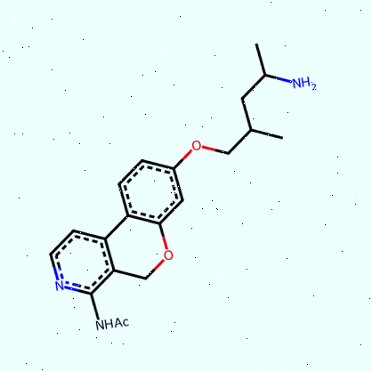 CC(=O)Nc1nccc2c1COc1cc(OCC(C)CC(C)N)ccc1-2